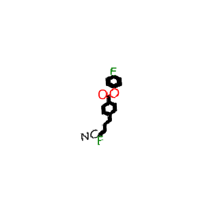 N#C/C(F)=C\CCC1CCC(C(=O)Oc2ccc(F)cc2)CC1